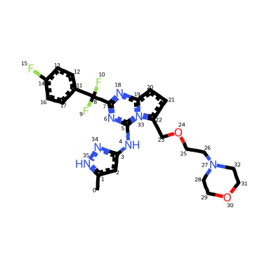 Cc1cc(Nc2nc(C(F)(F)c3ccc(F)cc3)nc3ccc(COCCN4CCOCC4)n23)n[nH]1